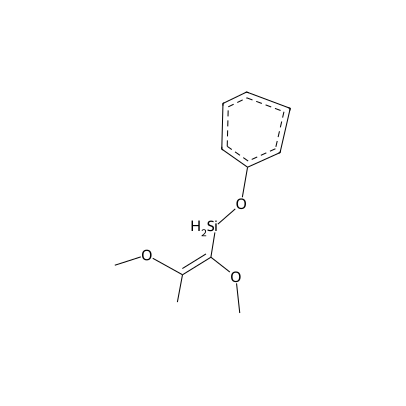 COC(C)=C(OC)[SiH2]Oc1ccccc1